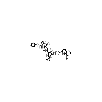 COc1nc(NCC(NC(=O)OCc2ccccc2)C(=O)O)c(OC)c(N2CCC(c3ccc4c(n3)NCCC4)CC2)n1